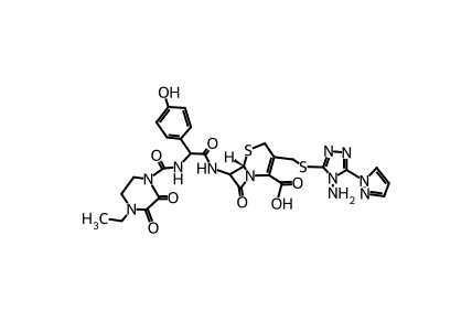 CCN1CCN(C(=O)NC(C(=O)NC2C(=O)N3C(C(=O)O)=C(CSc4nnc(-n5cccn5)n4N)CS[C@@H]23)c2ccc(O)cc2)C(=O)C1=O